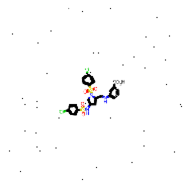 O=C(O)c1cccc(NCC2CC(NS(=O)(=O)c3ccc(Cl)cc3)CN2S(=O)(=O)c2ccc(Cl)cc2)c1